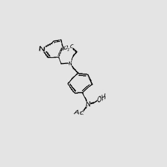 CC(=O)N(O)c1ccc(N(CC(=O)O)Cc2cccnc2)cc1